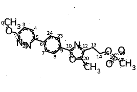 COc1ccc(-c2ccc(-c3nc(CCOS(C)(=O)=O)c(C)o3)cc2)nn1